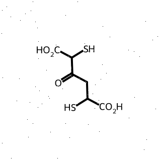 O=C(O)C(S)CC(=O)C(S)C(=O)O